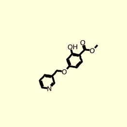 COC(=O)c1ccc(OCc2cccnc2)cc1O